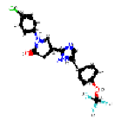 O=C1CC(c2ncc(-c3ccc(OC(F)(F)F)cc3)[nH]2)CN1c1ccc(Cl)cc1